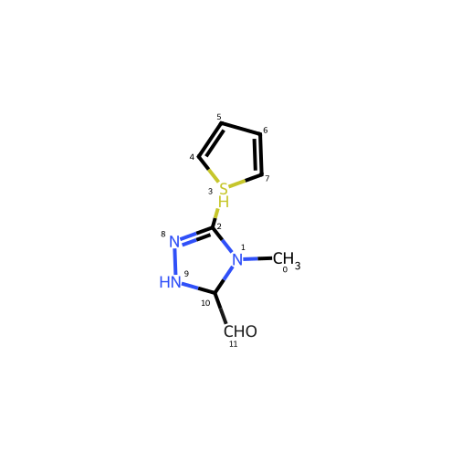 CN1C([SH]2C=CC=C2)=NNC1C=O